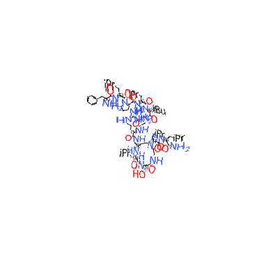 CC[C@H](C)[C@H](NC(=O)[C@H](CC(C)C)NC(=O)C1CCCN1C(=O)[C@H](CC(C)C)NC(=O)[C@@H](N)Cc1ccccc1)C(=O)NCC(=O)N[C@@H](CCCNC(=N)N)C(=O)NC[C@H]1CCN([C@@H](CC(C)C)C(=O)N[C@@H](CC(C)C)C(N)=O)C(=O)CNC(=O)[C@H](CO)NC(=O)[C@H](CC(C)C)N1